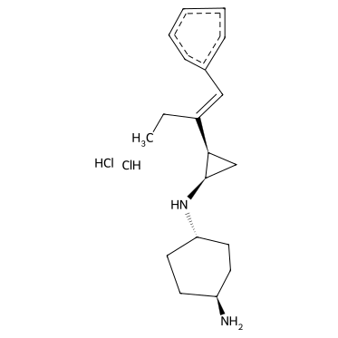 CC/C(=C\c1ccccc1)[C@H]1C[C@H]1N[C@H]1CC[C@H](N)CC1.Cl.Cl